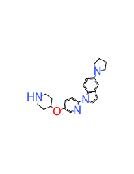 c1cc(-n2ccc3cc(N4CCCC4)ccc32)ncc1OC1CCNCC1